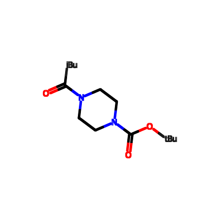 CCC(C)C(=O)N1CCN(C(=O)OC(C)(C)C)CC1